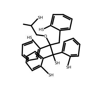 CC(S)COC(Cc1ccccc1S)(c1ccccc1S)C(S)(c1ccccc1S)c1ccccc1S